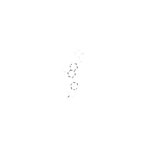 Cc1c(-c2cc3cc(N(C(=O)O)C4COCC4C)ncc3c(N)c2F)cnc2c1NC(=O)CO2